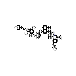 COc1cc(Nc2nccc(Oc3ccc(NC(=O)N/C(=C/C(=N)C(C)C)Nc4cccc(CP(C)(C)=O)c4)c4ccccc34)n2)cc(C(=O)NCCN2CCOCC2)c1